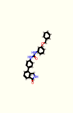 O=C(Nc1ccc(-c2cccc3c2CNC3=O)cc1)Nc1cccc(OCc2ccccc2)c1